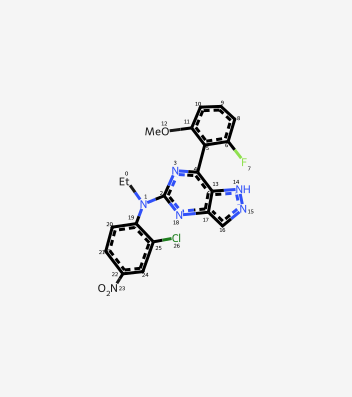 CCN(c1nc(-c2c(F)cccc2OC)c2[nH]ncc2n1)c1ccc([N+](=O)[O-])cc1Cl